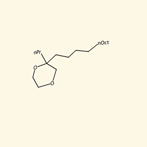 CCCCCCCCCCCCC1(CCC)COCCO1